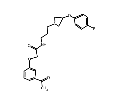 CC(=O)c1cccc(OCC(=O)NCCCN2CC(Oc3ccc(F)cc3)C2)c1